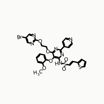 COc1ccccc1Oc1c(NS(=O)(=O)C=Cc2cccs2)nc(-c2ccncc2)nc1OCCOc1ncc(Br)cn1